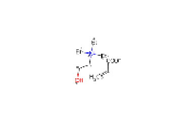 C=CC(=O)[O-].CC[N+](CC)(CC)CCO